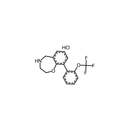 Cl.FC(F)(F)Oc1ccccc1-c1cccc2c1OCCNC2